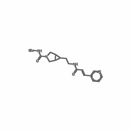 CC(C)(C)NC(=O)N1CC2C(CCNC(=O)/C=C/c3cccnc3)C2C1